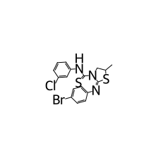 CC1CN(C(=S)Nc2cccc(Cl)c2)/C(=N\c2ccc(Br)cc2)S1